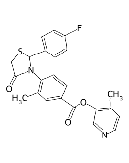 Cc1ccncc1OC(=O)c1ccc(N2C(=O)CSC2c2ccc(F)cc2)c(C)c1